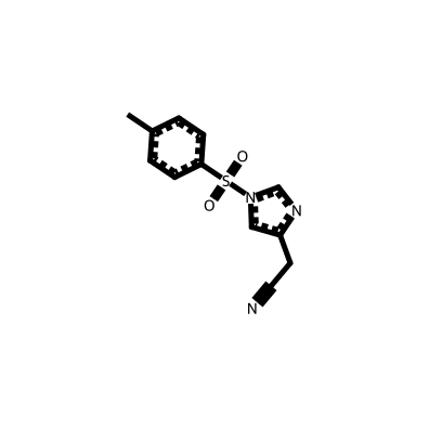 Cc1ccc(S(=O)(=O)n2cnc(CC#N)c2)cc1